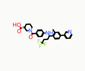 Cc1cc(-c2cccnc2)ccc1C(CCC(F)(F)F)Nc1ccc(C(=O)N2CCC[C@@H](C(=O)O)C2)cc1